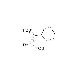 CC/C(C(=O)O)=C(\C(=O)O)C1CCCCC1